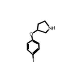 Ic1ccc(OC2CCNC2)cc1